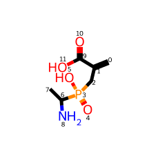 C=C(CP(=O)(O)C(C)N)C(=O)O